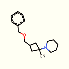 N#CC1(N2CCCCC2)CC(COCc2ccccc2)C1